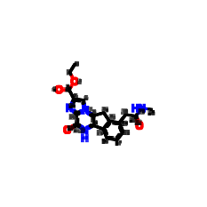 CCOC(=O)c1cn2c3c([nH]c(=O)c2n1)-c1cccc(CC(=O)NC)c1C3